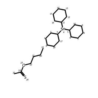 C1CC[CH]([Sn]([CH]2CCCCC2)[CH]2CCCCC2)CC1.CCCCOC(C)=S